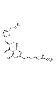 CCOCc1ccc(/C=C(\C)C(=O)c2c(O)cc(C(C)CC/C=C/NC(=O)O)oc2=O)s1